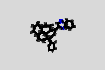 c1ccc(-c2cc(-c3cnc4ccccc4n3)c3ccc4cccc5ccc2c3c54)cc1